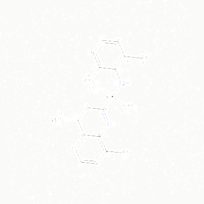 CC(C)c1cccc2c1N=C(C(C)(C)Nc1c(C(C)C)cccc1C(C)C)C[C@H]2C